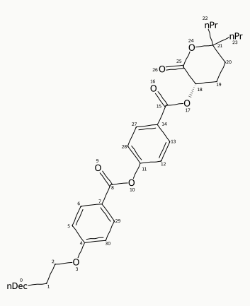 CCCCCCCCCCCCOc1ccc(C(=O)Oc2ccc(C(=O)O[C@H]3CCC(CCC)(CCC)OC3=O)cc2)cc1